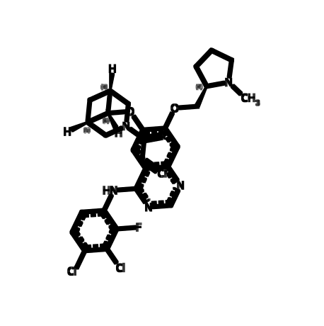 C=CC(=O)N1C[C@H]2C[C@@H](C1)[C@H]2Oc1cc2c(Nc3ccc(Cl)c(Cl)c3F)ncnc2cc1OC[C@H]1CCCN1C